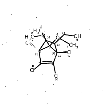 COC1(OC)[C@@]2(Cl)C(Cl)=C(Cl)[C@@]1(Cl)C(CO)C2C